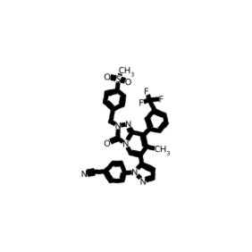 Cc1c(-c2ccnn2-c2ccc(C#N)cc2)cn2c(=O)n(Cc3ccc(S(C)(=O)=O)cc3)nc2c1-c1cccc(C(F)(F)F)c1